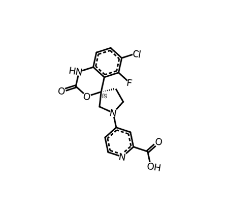 O=C1Nc2ccc(Cl)c(F)c2[C@]2(CCN(c3ccnc(C(=O)O)c3)C2)O1